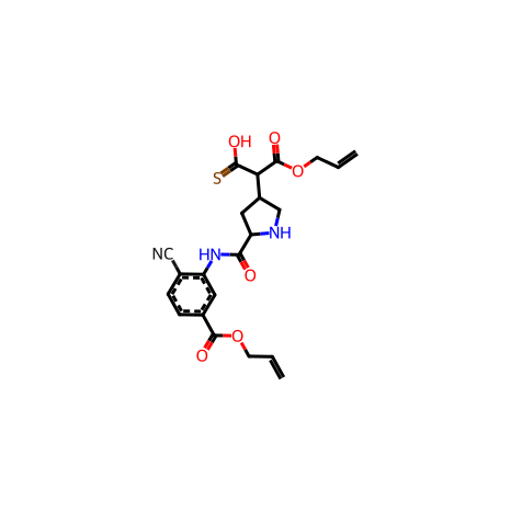 C=CCOC(=O)c1ccc(C#N)c(NC(=O)C2CC(C(C(=O)OCC=C)C(O)=S)CN2)c1